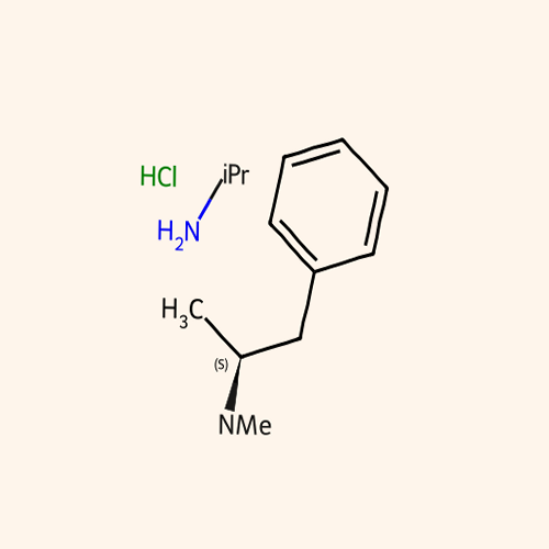 CC(C)N.CN[C@@H](C)Cc1ccccc1.Cl